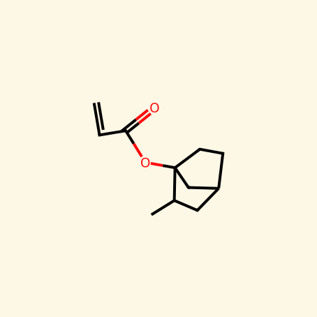 C=CC(=O)OC12CCC(CC1C)C2